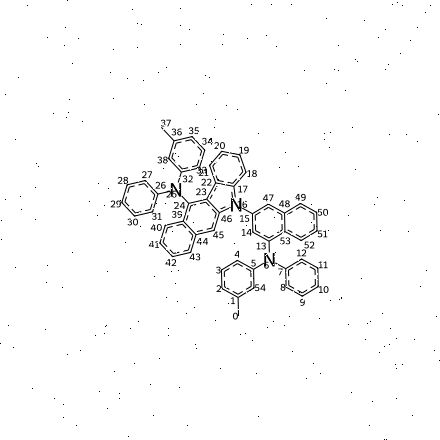 Cc1cccc(N(c2ccccc2)c2cc(-n3c4ccccc4c4c(N(c5ccccc5)c5cccc(C)c5)c5ccccc5cc43)cc3ccccc23)c1